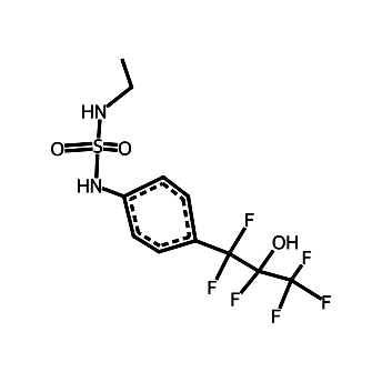 CCNS(=O)(=O)Nc1ccc(C(F)(F)C(O)(F)C(F)(F)F)cc1